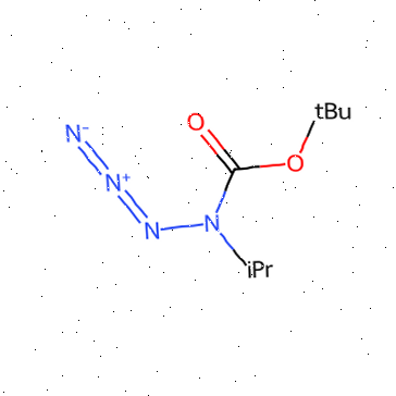 CC(C)N(N=[N+]=[N-])C(=O)OC(C)(C)C